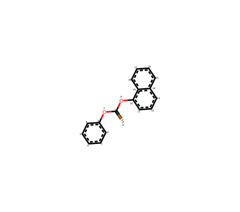 S=C(Oc1ccccc1)Oc1cccc2ccccc12